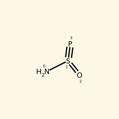 NS(=O)#P